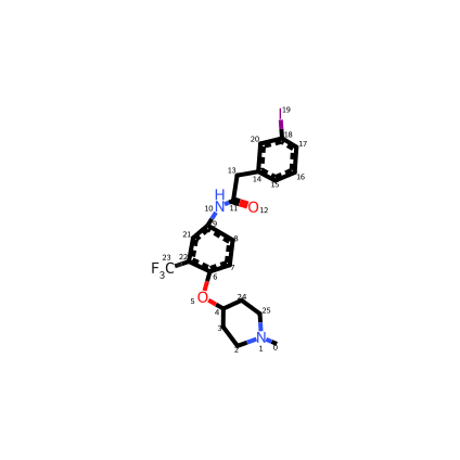 CN1CCC(Oc2ccc(NC(=O)Cc3cccc(I)c3)cc2C(F)(F)F)CC1